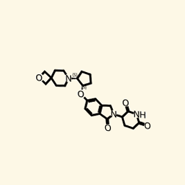 O=C1CCC(N2Cc3cc(O[C@H]4CCC[C@@H]4N4CCC5(CC4)COC5)ccc3C2=O)C(=O)N1